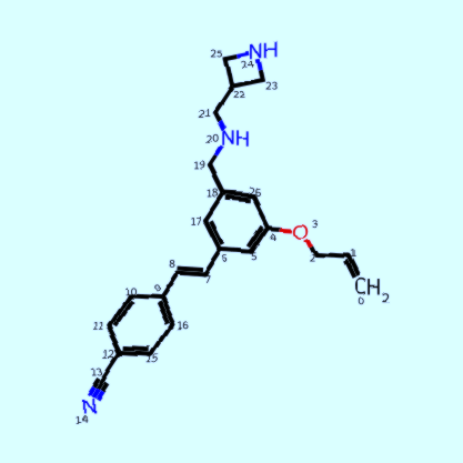 C=CCOc1cc(/C=C/c2ccc(C#N)cc2)cc(CNCC2CNC2)c1